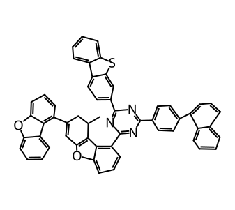 CC1CC(c2cccc3oc4ccccc4c23)=Cc2oc3cccc(-c4nc(-c5ccc(-c6cccc7ccccc67)cc5)nc(-c5ccc6c(c5)sc5ccccc56)n4)c3c21